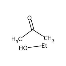 CC(C)=O.CCO